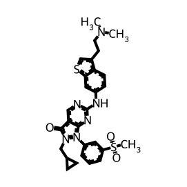 CN(C)CCc1csc2cc(Nc3ncc4c(=O)n(CC5CC5)n(-c5cccc(S(C)(=O)=O)c5)c4n3)ccc12